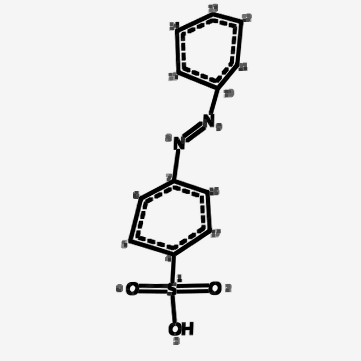 O=S(=O)(O)c1ccc(N=Nc2ccccc2)cc1